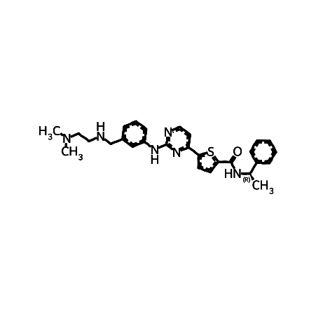 C[C@@H](NC(=O)c1ccc(-c2ccnc(Nc3cccc(CNCCN(C)C)c3)n2)s1)c1ccccc1